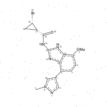 COc1ccc(-c2cnn(C)c2)c2nc(NC(=O)[C@@H]3C[C@@H]3Br)[nH]c12